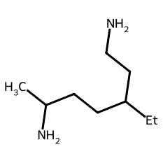 CCC(CCN)CCC(C)N